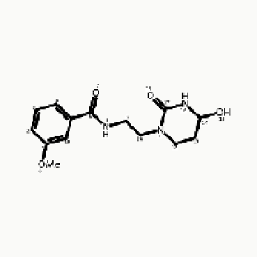 COc1cccc(C(=O)NCCN2CCC(O)NC2=O)c1